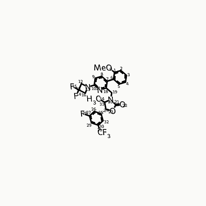 COc1ccccc1-c1ccc(N2CC(F)(F)C2)nc1CN1C(=O)O[C@H](c2cc(F)cc(C(F)(F)F)c2)C1C